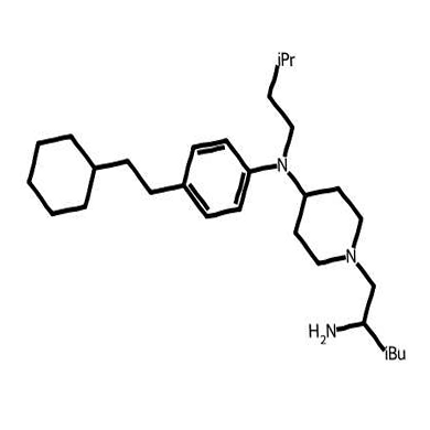 CCC(C)C(N)CN1CCC(N(CCC(C)C)c2ccc(CCC3CCCCC3)cc2)CC1